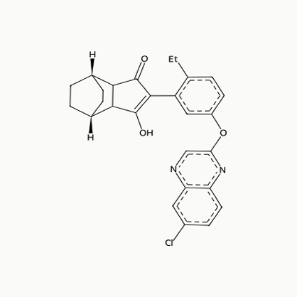 CCc1ccc(Oc2cnc3cc(Cl)ccc3n2)cc1C1=C(O)C2C(C1=O)[C@H]1CC[C@@H]2CC1